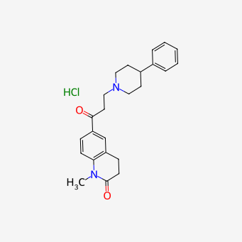 CN1C(=O)CCc2cc(C(=O)CCN3CCC(c4ccccc4)CC3)ccc21.Cl